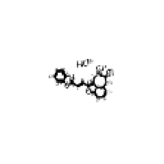 CN1Cc2c(C=Cc3nc4ccccc4o3)oc3cccc(c23)CC1Cl.Cl